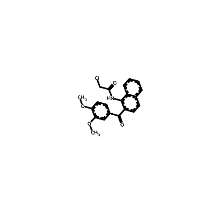 COc1ccc(C(=O)c2ccc3ccccc3c2NC(=O)CCl)cc1OC